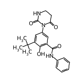 CC(C)(C)c1cc(N2C(=O)CCNC2=O)cc(C(=O)Nc2ccccc2)c1O